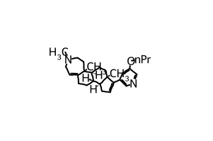 CCCOc1cncc(C2=CC[C@H]3[C@@H]4CCC5=CCN(C)CC[C@]5(C)[C@H]4CC[C@]23C)c1